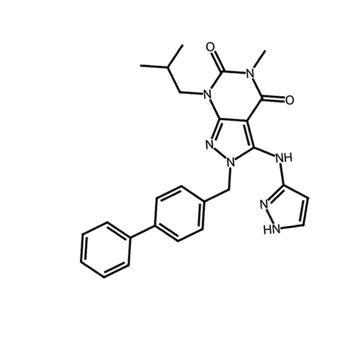 CC(C)Cn1c(=O)n(C)c(=O)c2c(Nc3cc[nH]n3)n(Cc3ccc(-c4ccccc4)cc3)nc21